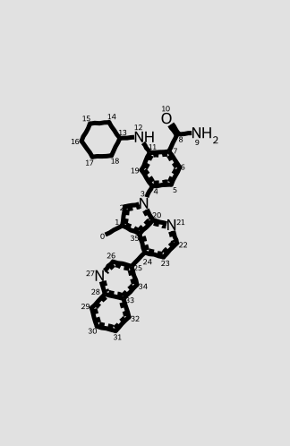 Cc1cn(-c2ccc(C(N)=O)c(NC3CCCCC3)c2)c2nccc(-c3cnc4ccccc4c3)c12